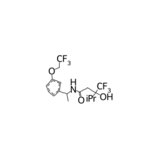 CC(NC(=O)CC(O)(C(C)C)C(F)(F)F)c1cccc(OCC(F)(F)F)c1